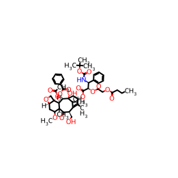 CCCC(=O)OCC(=O)O[C@@H](C(=O)O[C@H]1C[C@@]2(O)[C@@H](OC(=O)c3ccccc3)[C@@H]3[C@]4(OC(C)=O)CO[C@@H]4CC(OC)[C@@]3(C)C(=O)[C@H](CO)C(=C1C)C2(C)C)[C@@H](NC(=O)OC(C)(C)C)c1ccccc1